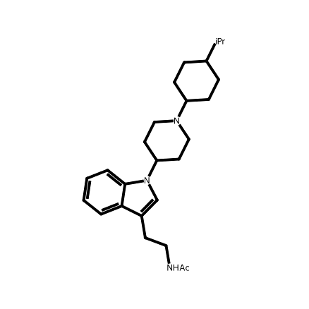 CC(=O)NCCc1cn(C2CCN(C3CCC(C(C)C)CC3)CC2)c2ccccc12